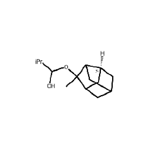 CC(C)C(O)OC1(C)C2CC3CC1[C@@H](C3)C2